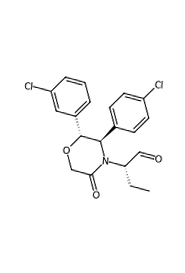 CC[C@@H](C=O)N1C(=O)CO[C@H](c2cccc(Cl)c2)[C@H]1c1ccc(Cl)cc1